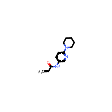 C=CC(=O)Nc1ccc(N2CCCCC2)nc1